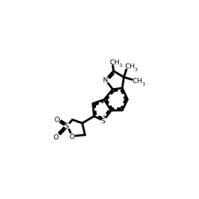 CC1=Nc2c(ccc3sc(C4COS(=O)(=O)C4)cc23)C1(C)C